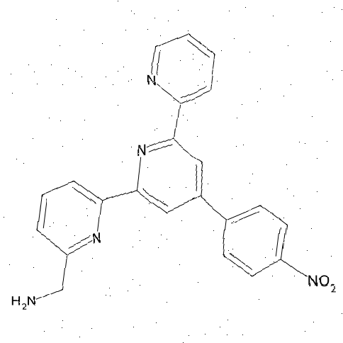 NCc1cccc(-c2cc(-c3ccc([N+](=O)[O-])cc3)cc(-c3ccccn3)n2)n1